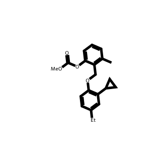 CCc1ccc(OCc2c(C)cccc2OC(=O)OC)c(C2CC2)c1